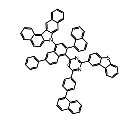 c1ccc(-c2ccc3c(-c4nc(-c5ccc(-c6cccc7ccccc67)cc5)nc(-c5ccc6sc7ccccc7c6c5)n4)c(-c4cccc5ccccc45)cc(-n4c5cc6ccccc6cc5c5c6ccccc6ccc54)c3c2)cc1